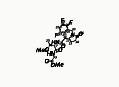 COC(=O)CNC(=O)[C@@H](NC(=O)C[C@@H]1CCC(=O)N1Cc1cc(F)cc(F)c1F)[C@@H](C)OC